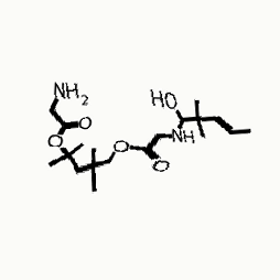 CC=CC(C)(C)C(O)NCC(=O)OCC(C)(C)CC(C)(C)OC(=O)CN